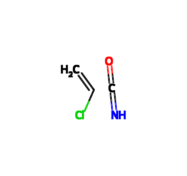 C=CCl.N=C=O